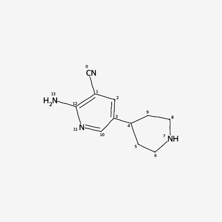 N#Cc1cc(C2CCNCC2)cnc1N